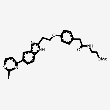 COCCNC(=O)Cc1ccc(OCCc2nc3cc(-c4ccnc(I)n4)ccc3[nH]2)cc1